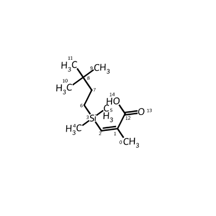 CC(=C[Si](C)(C)CCC(C)(C)C)C(=O)O